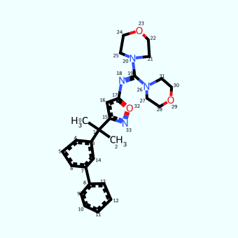 CC(C)(c1cccc(-c2[c]cccc2)c1)c1cc(N=C(N2CCOCC2)N2CCOCC2)on1